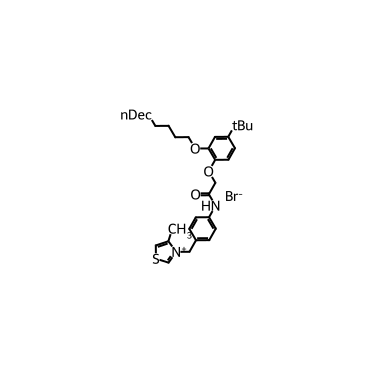 CCCCCCCCCCCCCCOc1cc(C(C)(C)C)ccc1OCC(=O)Nc1ccc(C[n+]2cscc2C)cc1.[Br-]